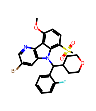 COc1ccc(S(C)(=O)=O)c2c1c1ncc(Br)cc1n2C(c1ccccc1F)C1CCOCC1